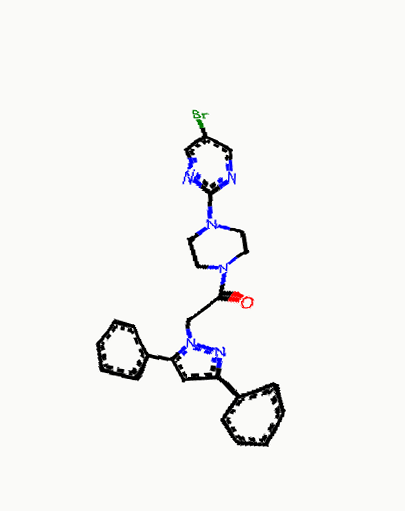 O=C(Cn1nc(-c2ccccc2)cc1-c1ccccc1)N1CCN(c2ncc(Br)cn2)CC1